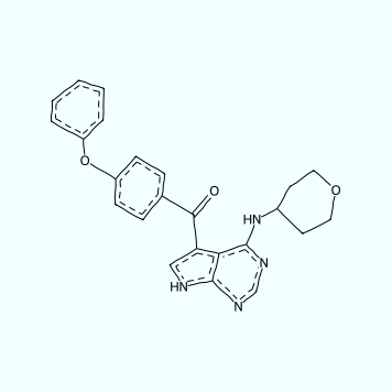 O=C(c1ccc(Oc2ccccc2)cc1)c1c[nH]c2ncnc(NC3CCOCC3)c12